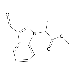 COC(=O)C(C)n1cc(C=O)c2ccccc21